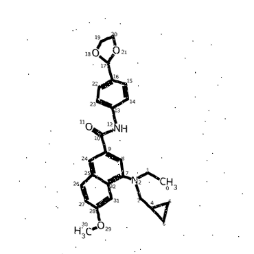 CCN(CC1CC1)c1cc(C(=O)Nc2ccc(C3OCCO3)cc2)cc2ccc(OC)cc12